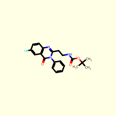 CC(C)(C)OC(=O)NCCc1nc2ccc(F)cc2c(=O)n1-c1ccccc1